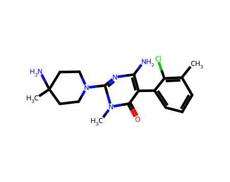 Cc1cccc(-c2c(N)nc(N3CCC(C)(N)CC3)n(C)c2=O)c1Cl